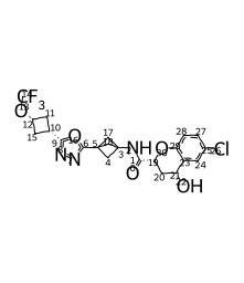 O=C(NC12CC(c3nnc([C@H]4C[C@@H](OC(F)(F)F)C4)o3)(C1)C2)[C@H]1C[C@@H](O)c2cc(Cl)ccc2O1